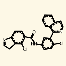 O=C(Nc1ccc(Cl)c(-c2nccc3ccccc23)c1)c1ccc2c(c1Cl)CC=N2